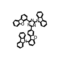 c1ccc2c(c1)oc1c(-c3nc(-c4ccc5c(c4)oc4cccc(-n6c7ccccc7c7ccccc76)c45)nc(-n4c5ccccc5c5ccccc54)n3)cccc12